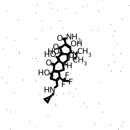 CN(C)[C@@H]1C(O)=C(C(N)=O)C(=O)[C@@]2(O)C(O)=C3C(=O)c4c(O)cc(CNCC5CC5)c(C(F)(F)F)c4C[C@H]3C[C@@H]12